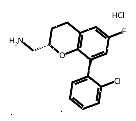 Cl.NC[C@@H]1CCc2cc(F)cc(-c3ccccc3Cl)c2O1